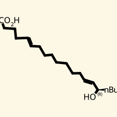 CCCC[C@@H](O)C=CCCCCCCCC=CCCCC(=O)O